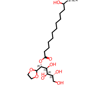 CCCCCCC(O)CCCCCCCCCCC(=O)O[C@@H](C1OCCO1)[C@@H](O)[C@H](O)[C@H](O)CO